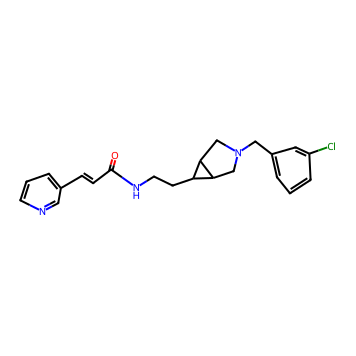 O=C(/C=C/c1cccnc1)NCCC1C2CN(Cc3cccc(Cl)c3)CC12